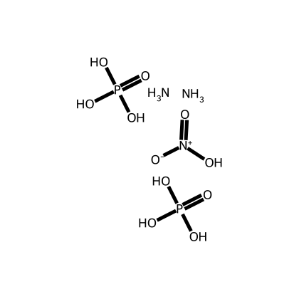 N.N.O=P(O)(O)O.O=P(O)(O)O.O=[N+]([O-])O